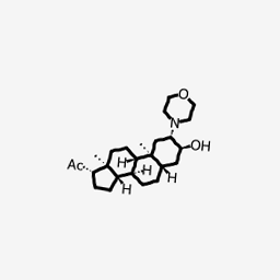 CC(=O)[C@H]1CC[C@H]2[C@@H]3CC[C@H]4C[C@H](O)[C@@H](N5CCOCC5)C[C@]4(C)[C@H]3CC[C@]12C